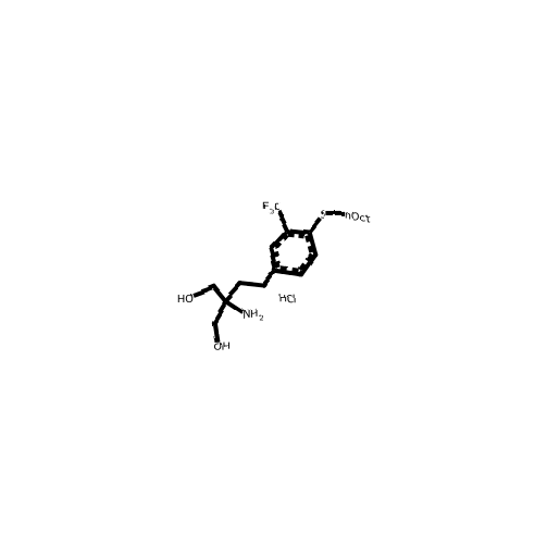 CCCCCCCCSc1ccc(CCC(N)(CO)CO)cc1C(F)(F)F.Cl